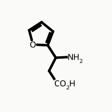 NC(CC(=O)O)c1ccco1